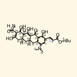 CCCCOC(=O)/C=C/c1cc(N(C)C)c2c(c1O)C(=O)C1=C(O)[C@]3(O)C(=O)C(C(N)=O)=C(O)C[C@@H]3C[C@@H]1C2